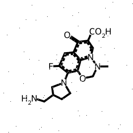 CN1COc2c(N3CCC(CN)C3)c(F)cc3c(=O)c(C(=O)O)cn1c23